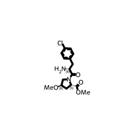 COC(=O)[C@@H]1C[C@@H](OC)CN1C(=O)[C@H](N)Cc1ccc(Cl)cc1